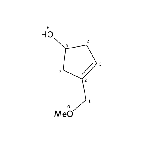 COCC1=CCC(O)C1